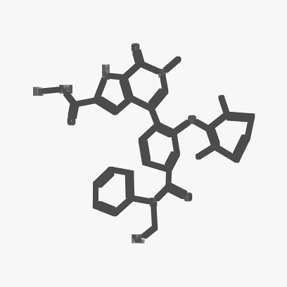 CCNC(=O)c1cc2c(-c3ccc(C(=O)N(CC#N)c4ccccc4)cc3Oc3c(C)cccc3C)cn(C)c(=O)c2[nH]1